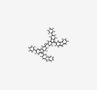 C1=C2Sc3ccccc3C2CC(n2c3ccc(Oc4ccc5c(c4)c4cc(-c6ccccc6)ccc4n5-c4ccc5sc6ccccc6c5c4)cc3c3cc(-c4ccccc4)ccc32)=C1